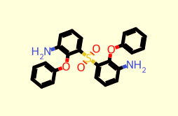 Nc1cccc(S(=O)(=O)c2cccc(N)c2Oc2ccccc2)c1Oc1ccccc1